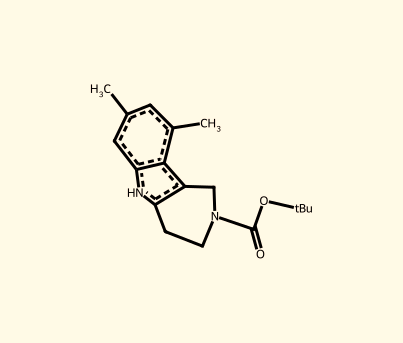 Cc1cc(C)c2c3c([nH]c2c1)CCN(C(=O)OC(C)(C)C)C3